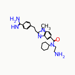 Cn1c(CCc2ccc(C(=N)N)cc2)nc2cc(C(=O)N(CCN)C3CCCCC3)ccc21